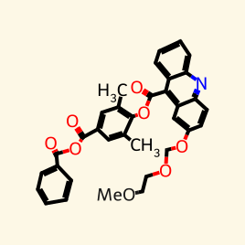 COCCOCOc1ccc2nc3ccccc3c(C(=O)Oc3c(C)cc(C(=O)OC(=O)c4ccccc4)cc3C)c2c1